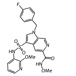 CONC(=O)c1cc2c(S(=O)(=O)Nc3cccnc3OC)cn(Cc3ccc(F)cc3)c2cn1